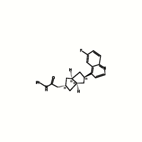 CC(C)NC(=O)C[C@H]1C[C@@H]2C[C@H](c3ccnc4ccc(F)cc34)C[C@@H]2C1